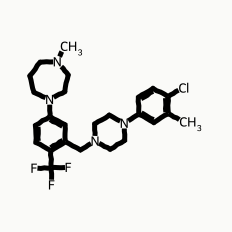 Cc1cc(N2CCN(Cc3cc(N4CCCN(C)CC4)ccc3C(F)(F)F)CC2)ccc1Cl